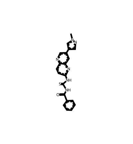 Cn1cc(-c2cnc3ccc(NC(=S)NC(=O)c4ccccc4)nc3c2)cn1